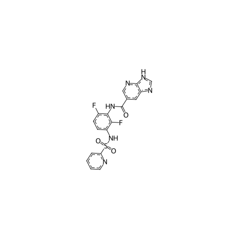 O=C(Nc1c(F)ccc(NS(=O)(=O)c2ccccn2)c1F)c1cnc2[nH]cnc2c1